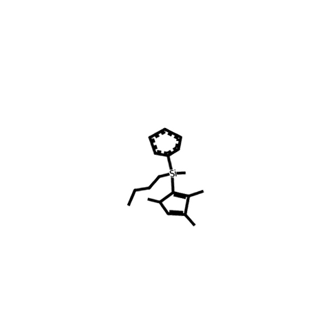 CCCC[Si](C)(C1=C(C)C(C)=CC1C)c1ccccc1